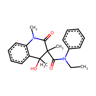 CCN(C(=O)C1(C)C(=O)N(C)c2ccccc2C1(C)O)c1ccccc1